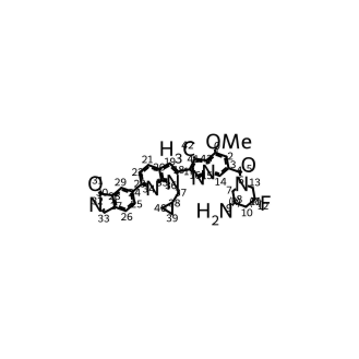 COc1cc(C(=O)N2C[C@H](N)C[C@@H](F)C2)cn2nc(-c3cc4ccc(-c5ccc6c(c5)C(=O)N=C6)nc4n3CC3CC3)c(C)c12